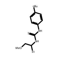 CCCCc1ccc(NC(=S)NC(CC)COC)cc1